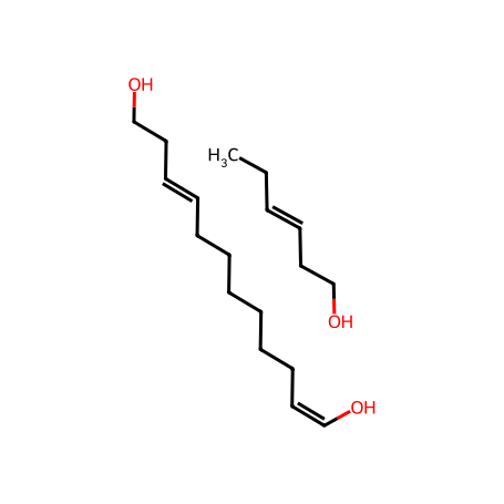 CCC=CCCO.O/C=C\CCCCCC/C=C/CCO